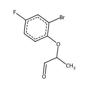 CC(C=O)Oc1ccc(F)cc1Br